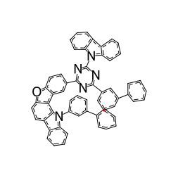 c1ccc(-c2cccc(-c3nc(-c4ccc5oc6ccc7c8ccccc8n(-c8cccc(-c9ccccc9)c8)c7c6c5c4)nc(-n4c5ccccc5c5ccccc54)n3)c2)cc1